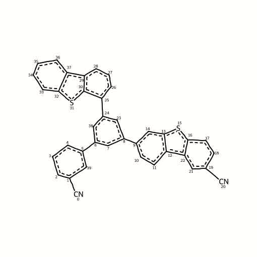 N#Cc1cccc(-c2cc(-c3ccc4c(c3)sc3ccc(C#N)cc34)cc(-c3cccc4c3sc3ccccc34)c2)c1